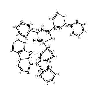 C1=CC2C3=C(CCC=C3)SC2C(n2c3ccccc3c3ccc(C4CC(C5=CC(c6ccccc6)CC=C5)=NC(c5ccccc5)N4)cc32)=C1